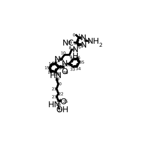 Cc1nc(N)nc(NCCCc2nc3cccc(NCCCCCC(=O)NO)c3c(=O)n2-c2ccccc2)c1C#N